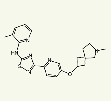 Cc1cccnc1Nc1nc(-c2ccc(OC3CC4(CCN(C)C4)C3)cn2)ns1